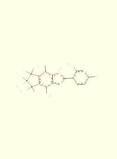 Bc1c2c(c(B)c3[nH]c(-c4ccc(C(C)(C)C)nc4O)nc13)C(C)(C)C(C)(C)C2(C)C